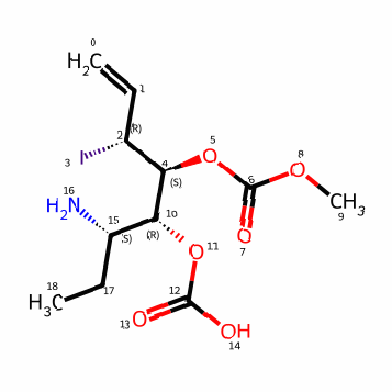 C=C[C@@H](I)[C@@H](OC(=O)OC)[C@H](OC(=O)O)[C@@H](N)CC